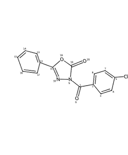 O=C(c1ccc(Cl)cc1)n1nc(-c2ccccc2)oc1=O